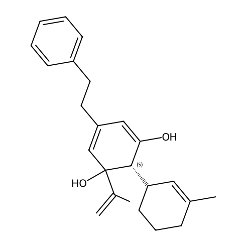 C=C(C)C1(O)C=C(CCc2ccccc2)C=C(O)[C@@H]1C1C=C(C)CCC1